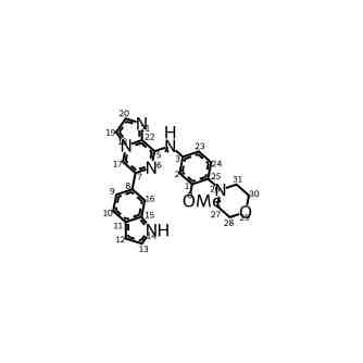 COc1cc(Nc2nc(-c3ccc4cc[nH]c4c3)cn3ccnc23)ccc1N1CCOCC1